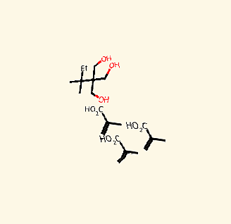 C=C(C)C(=O)O.C=C(C)C(=O)O.C=C(C)C(=O)O.CCC(C)(C)C(CO)(CO)CO